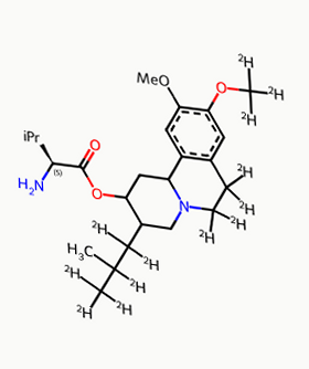 [2H]C([2H])([2H])Oc1cc2c(cc1OC)C1CC(OC(=O)[C@@H](N)C(C)C)C(C([2H])([2H])C([2H])(C)C([2H])([2H])[2H])CN1C([2H])([2H])C2([2H])[2H]